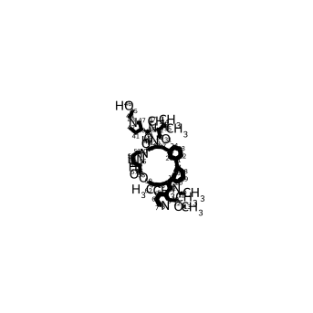 CCn1c(-c2cccnc2[C@H](C)OC)c2c3cc(ccc31)-c1cccc(c1)C[C@H](NC(=O)C(C(C)C)N(C)C(=O)[C@H]1CCN(CCO)C1)C(=O)N1CCC[C@H](N1)C(=O)OCC(C)(C)C2